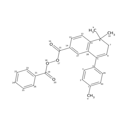 Cc1ccc(C2=CCC(C)(C)c3ccc(C(=O)OOC(=O)c4ccccc4)cc32)cc1